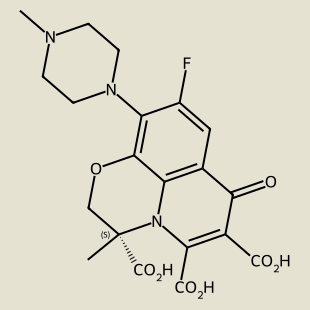 CN1CCN(c2c(F)cc3c(=O)c(C(=O)O)c(C(=O)O)n4c3c2OC[C@@]4(C)C(=O)O)CC1